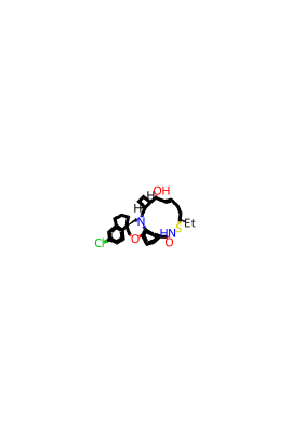 CC[C@@H]1CC/C=C/[C@H](O)[C@@H]2CC[C@H]2CN2C[C@@]3(CCCc4cc(Cl)ccc43)COc3ccc(cc32)C(=O)NS1